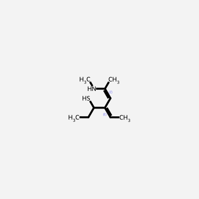 C/C=C(\C=C(\C)NC)C(S)CC